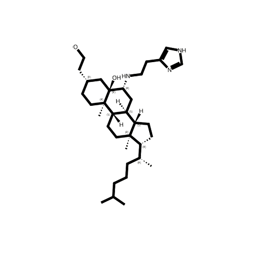 CC(C)CCC[C@@H](C)[C@H]1CC[C@H]2[C@@H]3C[C@@H](NCCc4c[nH]cn4)[C@@]4(O)C[C@@H](CC[O])CC[C@]4(C)[C@H]3CC[C@]12C